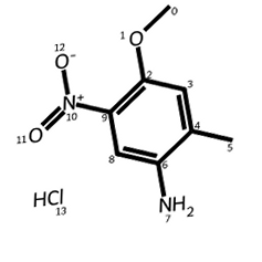 COc1cc(C)c(N)cc1[N+](=O)[O-].Cl